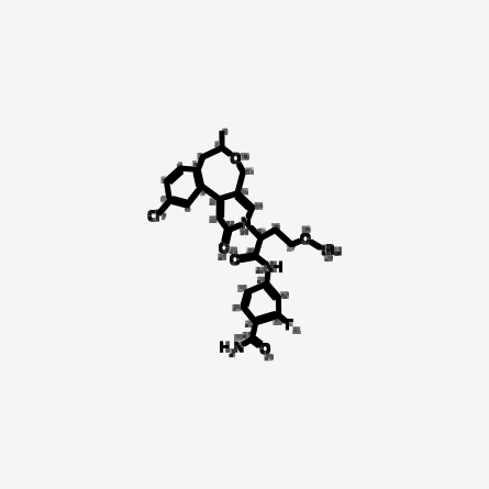 CC1Cc2ccc(Cl)cc2-c2cc(=O)n(C(CCOC(C)(C)C)C(=O)Nc3ccc(C(N)=O)c(F)c3)cc2CO1